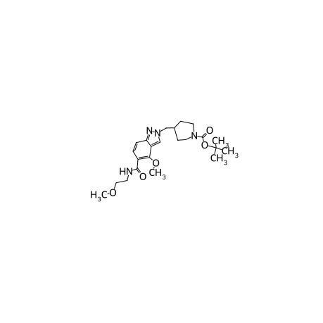 COCCNC(=O)c1ccc2nn(CC3CCN(C(=O)OC(C)(C)C)CC3)cc2c1OC